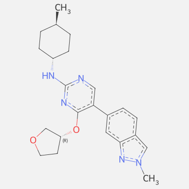 Cn1cc2ccc(-c3cnc(N[C@H]4CC[C@H](C)CC4)nc3O[C@@H]3CCOC3)cc2n1